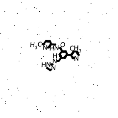 Cc1ccc(CNC(=O)c2cc(CNC3=NCCN3)cc(-c3cnccc3C)c2)cn1